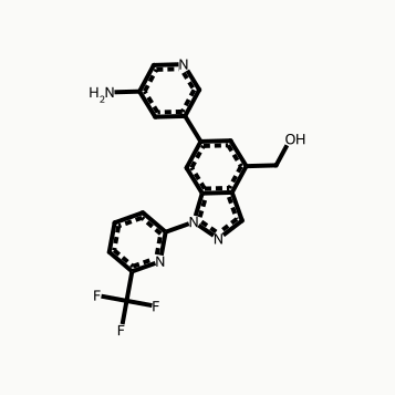 Nc1cncc(-c2cc(CO)c3cnn(-c4cccc(C(F)(F)F)n4)c3c2)c1